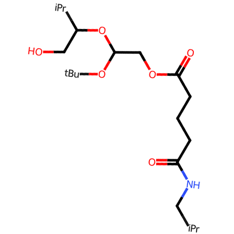 CC(C)CNC(=O)CCCC(=O)OCC(OC(CO)C(C)C)OC(C)(C)C